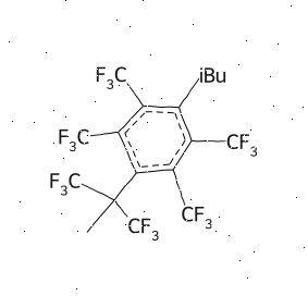 CCC(C)c1c(C(F)(F)F)c(C(F)(F)F)c(C(C)(C(F)(F)F)C(F)(F)F)c(C(F)(F)F)c1C(F)(F)F